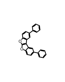 c1ccc(-c2ccc3oc4oc5ccc(-c6ccccc6)cc5c4c3c2)cc1